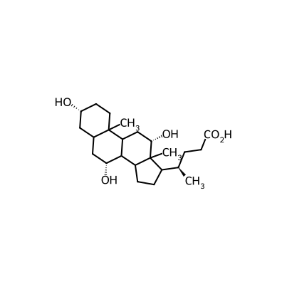 C[C@H](CCC(=O)O)C1CCC2C3C(C[C@H](O)C21C)C1(C)CC[C@@H](O)CC1C[C@H]3O